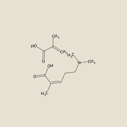 C=C(C)C(=O)O.CC(=CCCN(C)C)C(=O)O